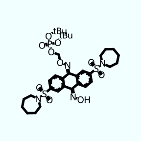 CC(C)(C)OP(=O)(OCO/N=C1\c2ccc(S(=O)(=O)N3CCCCCC3)cc2/C(=N/O)c2ccc(S(=O)(=O)N3CCCCCC3)cc21)OC(C)(C)C